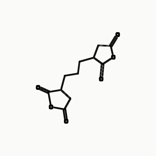 O=C1CC(CCCC2CC(=O)OC2=O)C(=O)O1